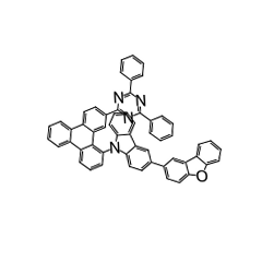 c1ccc(-c2nc(-c3ccccc3)nc(-c3ccc4c5ccccc5c5cccc(-n6c7ccccc7c7cc(-c8ccc9oc%10ccccc%10c9c8)ccc76)c5c4c3)n2)cc1